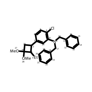 CCC1[C](c2ccc(Cl)c(N(Cc3ccccc3)Cc3ccccc3)c2)CC1(OC)OC